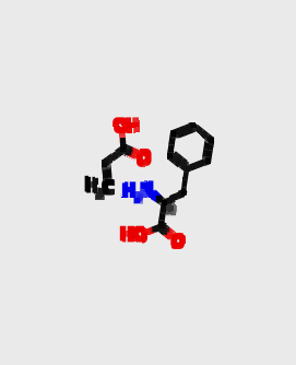 C=CC(=O)O.N[C@@H](Cc1ccccc1)C(=O)O